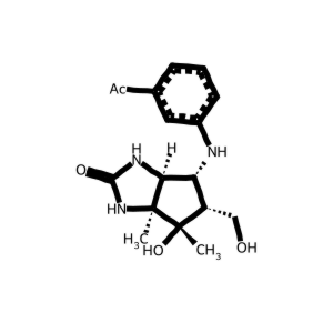 CC(=O)c1cccc(N[C@@H]2[C@H](CO)[C@](C)(O)[C@@]3(C)NC(=O)N[C@@H]23)c1